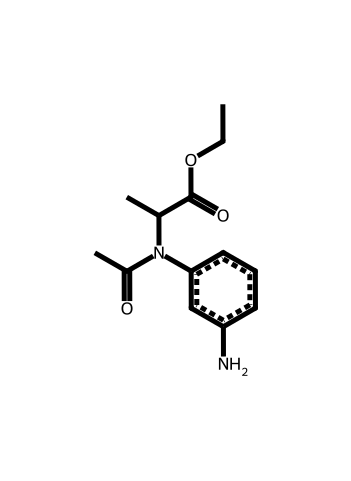 CCOC(=O)C(C)N(C(C)=O)c1cccc(N)c1